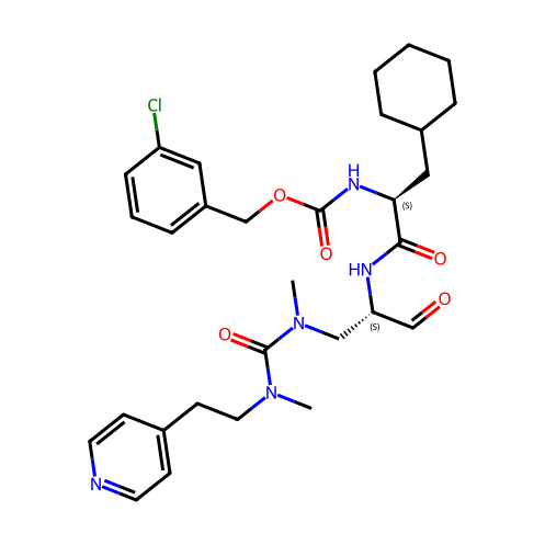 CN(CCc1ccncc1)C(=O)N(C)C[C@@H](C=O)NC(=O)[C@H](CC1CCCCC1)NC(=O)OCc1cccc(Cl)c1